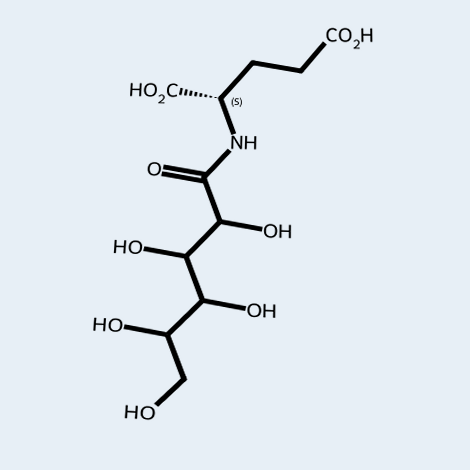 O=C(O)CC[C@H](NC(=O)C(O)C(O)C(O)C(O)CO)C(=O)O